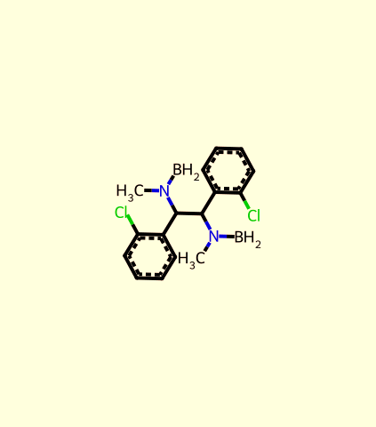 BN(C)C(c1ccccc1Cl)C(c1ccccc1Cl)N(B)C